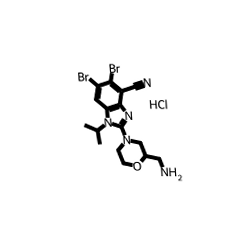 CC(C)n1c(N2CCOC(CN)C2)nc2c(C#N)c(Br)c(Br)cc21.Cl